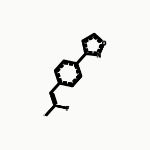 [CH2]/C(F)=C/c1ccc(-c2ccon2)cc1